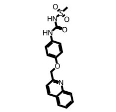 CS(=O)(=O)NC(=O)Nc1ccc(OCc2ccc3ccccc3n2)cc1